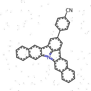 N#Cc1ccc(-c2cc3c4cc5ccccc5cc4n4c5cc6ccccc6cc5c(c2)c34)cc1